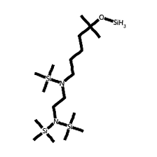 CC(C)(CCCCN(CCN([Si](C)(C)C)[Si](C)(C)C)[Si](C)(C)C)O[SiH3]